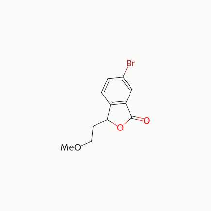 COCCC1OC(=O)c2cc(Br)ccc21